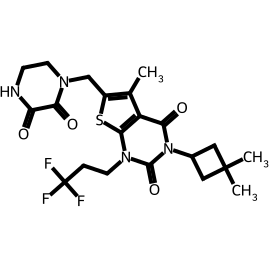 Cc1c(CN2CCNC(=O)C2=O)sc2c1c(=O)n(C1CC(C)(C)C1)c(=O)n2CCC(F)(F)F